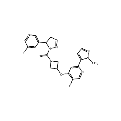 Cn1nccc1-c1cc(OC2CN(C(=O)N3N=CCC3c3cncc(F)c3)C2)c(F)cn1